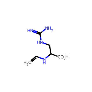 C=CNC(CNC(=N)N)C(=O)O